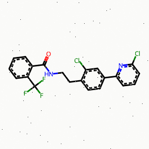 O=C(NCCc1ccc(-c2cccc(Cl)n2)cc1Cl)c1ccccc1C(F)(F)F